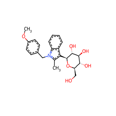 COc1ccc(Cn2c(C)c([C@@H]3O[C@H](CO)[C@@H](O)[C@H](O)[C@H]3O)c3ccccc32)cc1